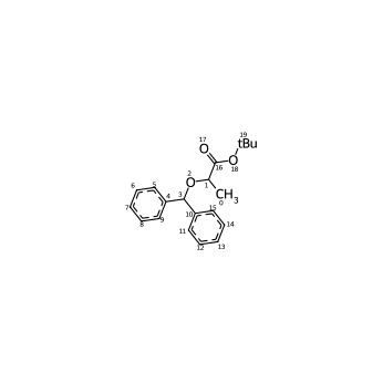 CC(OC(c1ccccc1)c1ccccc1)C(=O)OC(C)(C)C